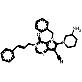 N#Cc1c(N2CCC[C@H](N)C2)n(Cc2ccccc2)c2c(=O)n(C/C=C/c3ccccc3)cnc12